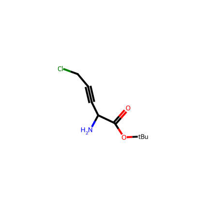 CC(C)(C)OC(=O)C(N)C#CCCl